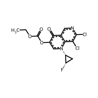 CCOC(=O)Oc1cn([C@@H]2C[C@@H]2F)c2c(Cl)c(Cl)ncc2c1=O